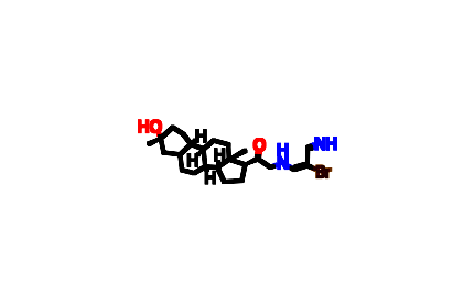 C[C@@]1(O)CC[C@H]2C(CC[C@@H]3[C@@H]2CC[C@]2(C)[C@@H](C(=O)CN/C=C(/Br)C=N)CC[C@@H]32)C1